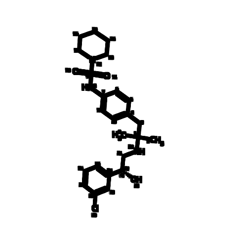 CC(C)(Cc1ccc(NS(=O)(=O)N2CCCCC2)cc1)NC[C@H](O)c1cccc(Cl)c1